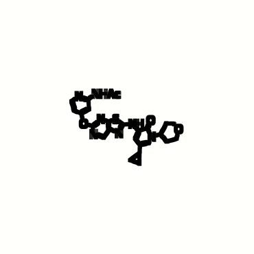 CC(=O)Nc1cc(Oc2ncc3nc(Nc4cc(C5CC5)cn(C5CCOCC5)c4=O)sc3n2)ccn1